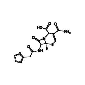 NC(=O)C1=CS[C@H]2C(NC(=O)Cc3cccs3)C(=O)N2C1C(=O)O